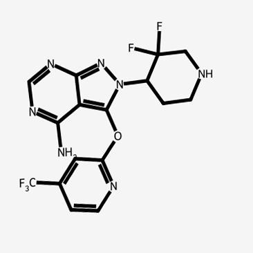 Nc1ncnc2nn(C3CCNCC3(F)F)c(Oc3cc(C(F)(F)F)ccn3)c12